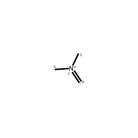 [CH]=[N+](C)C